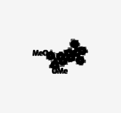 COc1ccc(N(c2ccc(OC)cc2)C2C=CC3=C4C2=CC=CC4c2ccc4c5c(ccc3c25)-c2c-4c(-c3ccccc3)c3ccccc3c2-c2ccccc2)cc1